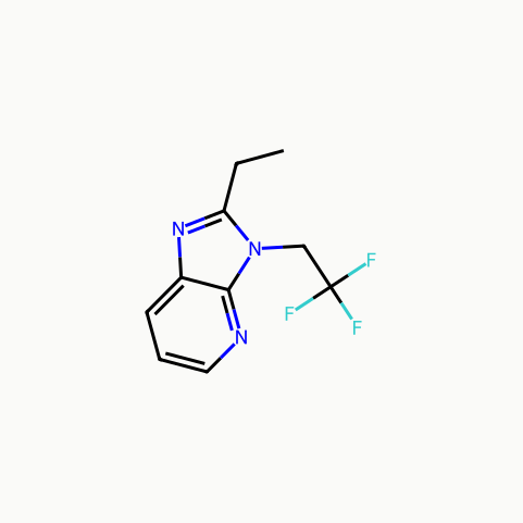 CCc1nc2cccnc2n1CC(F)(F)F